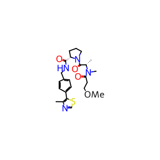 COCCC(=O)N(C)[C@@H](C)C(=O)N1CCC[C@H]1C(=O)NCc1ccc(-c2scnc2C)cc1